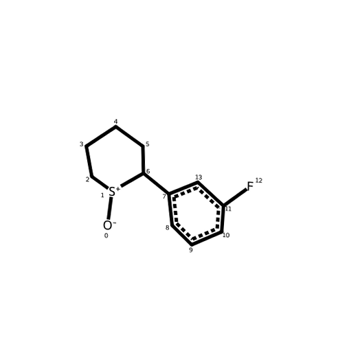 [O-][S+]1CCCCC1c1cccc(F)c1